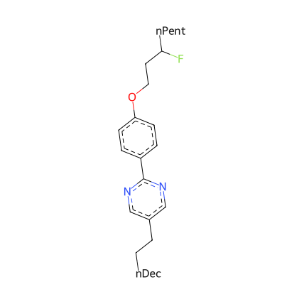 CCCCCCCCCCCCc1cnc(-c2ccc(OCCC(F)CCCCC)cc2)nc1